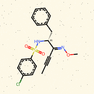 CC#CC(=NOC)[C@@H](Cc1ccccc1)NS(=O)(=O)c1ccc(Cl)cc1